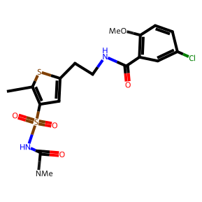 CNC(=O)NS(=O)(=O)c1cc(CCNC(=O)c2cc(Cl)ccc2OC)sc1C